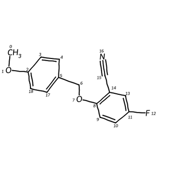 COc1ccc(COc2ccc(F)cc2C#N)cc1